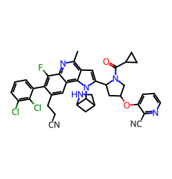 Cc1nc2c(F)c(-c3cccc(Cl)c3Cl)c(CCC#N)cc2c2c1cc(C1CC(Oc3cccnc3C#N)CN1C(=O)C1CC1)n2C1C2CNC1C2